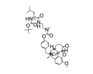 COc1ccc2c3c1O[C@H]1C(=O)CC[C@H]4C(C2)[N@@+](C)(Cc2ccc(OC(=O)N(C)CCNC(=O)[C@H](CC(C)C)NC(=O)OC(C)(C)C)cc2)CC[C@]314